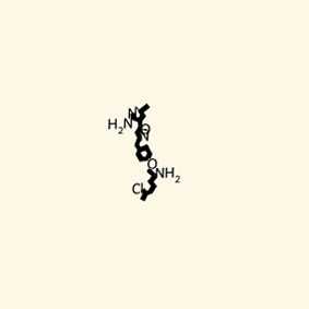 C=C/C=C(\C(N)=N/C)c1cc(Cc2ccc(OC/C(N)=C/C=C\C(=C)Cl)cc2)no1